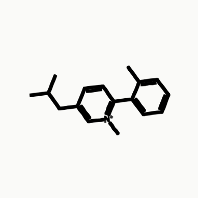 Cc1ccccc1-c1ccc(CC(C)C)c[n+]1C